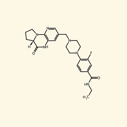 CCNC(=O)c1ccc(N2CCN(Cc3cnc4c(c3)NC(=O)[C@@H]3CCCN43)CC2)c(F)c1